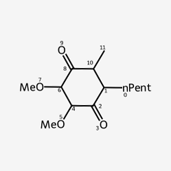 CCCCCC1C(=O)C(OC)C(OC)C(=O)C1C